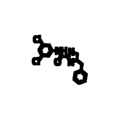 O=C(Nc1cc(Cl)cc(Cl)c1)C1=NCC(Cc2ccccc2)=N1